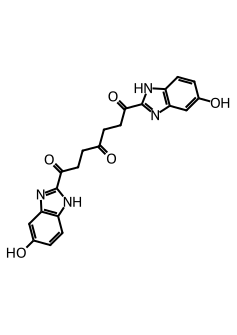 O=C(CCC(=O)c1nc2cc(O)ccc2[nH]1)CCC(=O)c1nc2cc(O)ccc2[nH]1